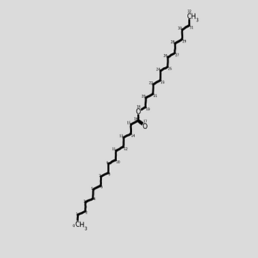 CCCCCCCCCCCCCCCCC(=O)OCCCCCCCCCCCCCC